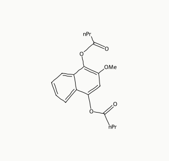 CCCC(=O)Oc1cc(OC)c(OC(=O)CCC)c2ccccc12